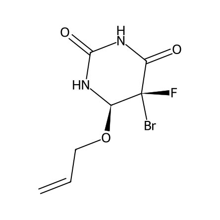 C=CCO[C@H]1NC(=O)NC(=O)[C@]1(F)Br